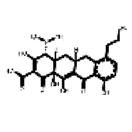 CCCc1ccc(O)c2c1C[C@H]1C[C@H]3[C@@H](N(C)C)C(O)=C(C(N)=O)C(=O)[C@@]3(O)C(O)=C1C2=O